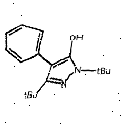 CC(C)(C)c1nn(C(C)(C)C)c(O)c1-c1ccccc1